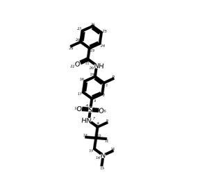 Cc1cc(S(=O)(=O)NC(C)C(C)(C)CN(C)C)ccc1NC(=O)c1ccccc1C